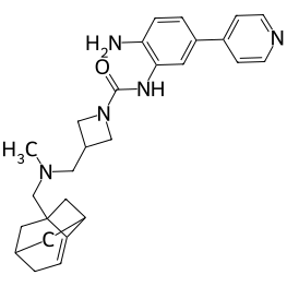 CN(CC1CN(C(=O)Nc2cc(-c3ccncc3)ccc2N)C1)CC12CC3CC=C1C(C3)C2